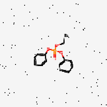 CCC(C)COP(=O)(Oc1ccccc1)Oc1ccccc1